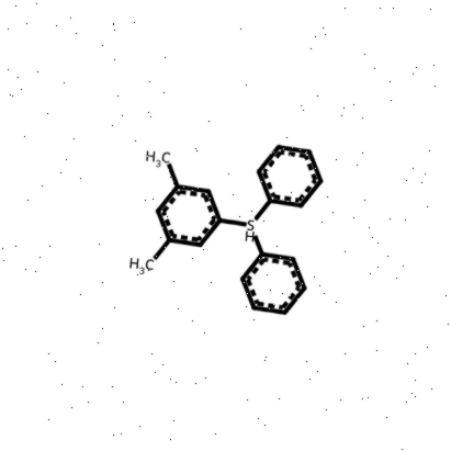 Cc1cc(C)cc([SH](c2ccccc2)c2ccccc2)c1